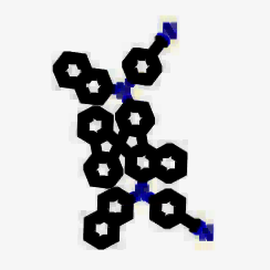 N#Cc1ccc(N(c2ccc3c(c2)C2(c4ccccc4-c4ccccc42)c2cc(N(c4ccc(C#N)cc4)c4ccc5ccccc5c4)c4ccccc4c2-3)c2ccc3ccccc3c2)cc1